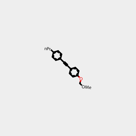 CCCc1ccc(C#Cc2ccc(OCOC)cc2)cc1